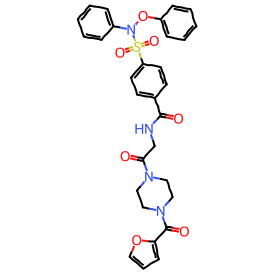 O=C(NCC(=O)N1CCN(C(=O)c2ccco2)CC1)c1ccc(S(=O)(=O)N(Oc2ccccc2)c2ccccc2)cc1